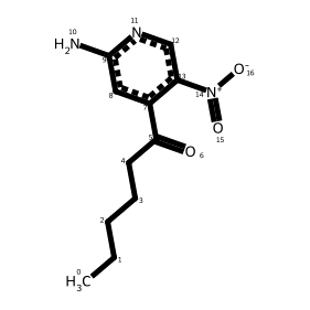 CCCCCC(=O)c1cc(N)ncc1[N+](=O)[O-]